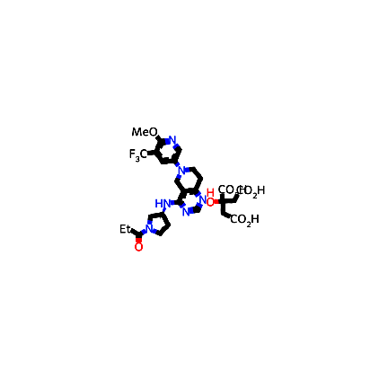 CCC(=O)N1CC[C@H](Nc2ncnc3c2CN(c2cnc(OC)c(C(F)(F)F)c2)CC3)C1.O=C(O)CC(O)(CC(=O)O)C(=O)O